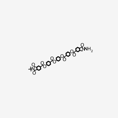 CC(C)(C)N1C(=O)c2ccc(C(=O)Oc3ccc(C(=O)Oc4ccc(OC(=O)c5ccc(OC(=O)c6ccc7c(c6)CN(N)C7=O)cc5)cc4)cc3)cc2C1=O